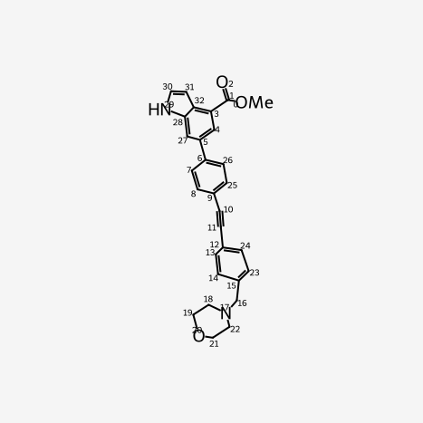 COC(=O)c1cc(-c2ccc(C#Cc3ccc(CN4CCOCC4)cc3)cc2)cc2[nH]ccc12